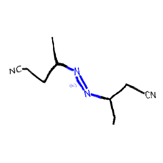 CC(CC#N)/N=N/C(C)CC#N